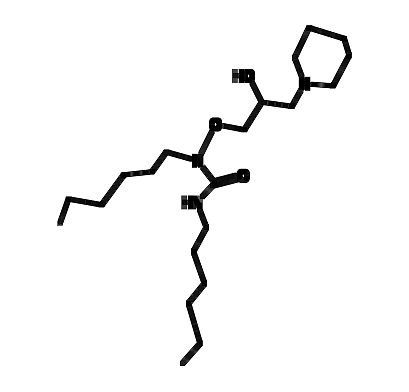 CCCCCCNC(=O)N(CCCCCC)OCC(O)CN1CCCCC1